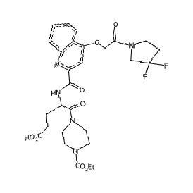 CCOC(=O)N1CCN(C(=O)C(CCC(=O)O)NC(=O)c2cc(OCC(=O)N3CCC(F)(F)C3)c3ccccc3n2)CC1